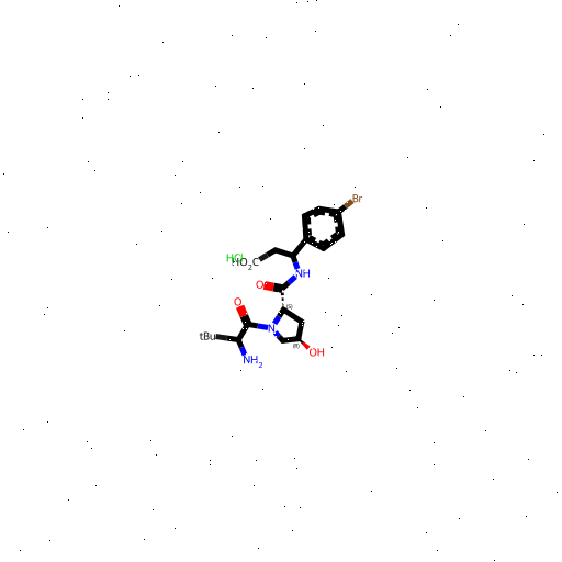 CC(C)(C)C(N)C(=O)N1C[C@H](O)C[C@H]1C(=O)NC(CC(=O)O)c1ccc(Br)cc1.Cl